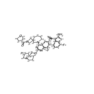 N#Cc1c(N)sc2c(F)ccc(-c3c(Cl)cc4c(N5CCCCC6(CN(C(=O)[C@@H]7CCOC7)C6)C5)nc(OC[C@@]56CCCN5C[C@H](F)C6)nc4c3F)c12